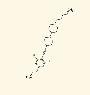 C=CCCCC1CCC(C2CCC(C#Cc3c(F)cc(CCC)cc3F)CC2)CC1